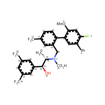 COc1cc(F)c(C(C)C)cc1-c1ccc(C(F)(F)F)cc1CN(C(=O)O)[C@@H](C)[C@@H](O)c1cc(C(F)(F)F)cc(C(F)(F)F)c1